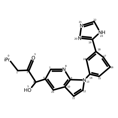 CC(C)CC(=O)C(O)c1cnc2c(ccn2-c2cccc(-c3nnc[nH]3)c2)c1